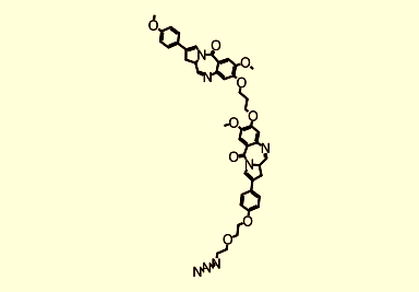 COc1ccc(C2=CN3C(=O)c4cc(OC)c(OCCCOc5cc6c(cc5OC)C(=O)N5C=C(c7ccc(OCCOCCN=[N+]=[N-])cc7)CC5C=N6)cc4N=CC3C2)cc1